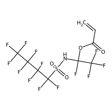 C=CC(=O)OC(F)(NS(=O)(=O)C(F)(F)C(F)(F)C(F)(F)C(F)(F)F)C(F)(F)F